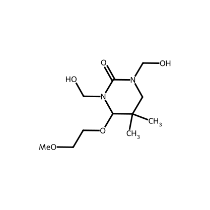 COCCOC1N(CO)C(=O)N(CO)CC1(C)C